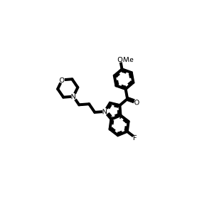 COc1ccc(C(=O)c2cn(CCCN3CCOCC3)c3ccc(F)cc23)cc1